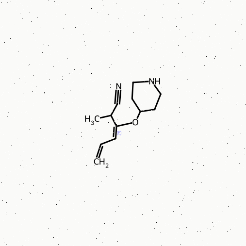 C=C/C=C(/OC1CCNCC1)C(C)C#N